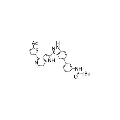 CCCCC(=O)Nc1cccc(-c2ccc3[nH]nc(-c4cc5c(-c6ccc(C(C)=O)s6)nccc5[nH]4)c3c2)c1